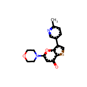 Cc1ccc(-c2csc3c(=O)cc(N4CCOCC4)oc23)cn1